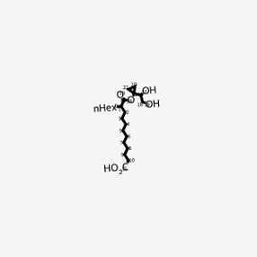 CCCCCCC(CCCCCCCCCC(=O)O)C(=O)OC1(C(O)CO)CC1